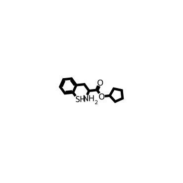 NC(Cc1ccccc1S)C(=O)OC1CCCC1